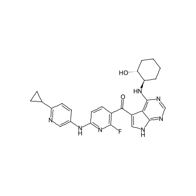 O=C(c1ccc(Nc2ccc(C3CC3)nc2)nc1F)c1c[nH]c2ncnc(N[C@@H]3CCCC[C@H]3O)c12